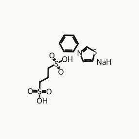 O=S(=O)(O)CCCS(=O)(=O)O.[NaH].c1ccccc1.c1cscn1